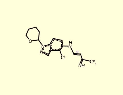 N=C(/C=C/Nc1ccc2c(cnn2C2CCCCO2)c1Cl)C(F)(F)F